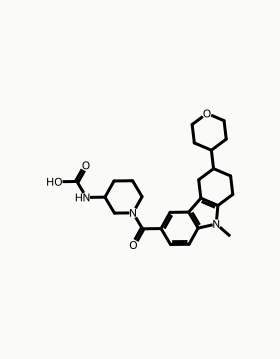 Cn1c2c(c3cc(C(=O)N4CCCC(NC(=O)O)C4)ccc31)CC(C1CCOCC1)CC2